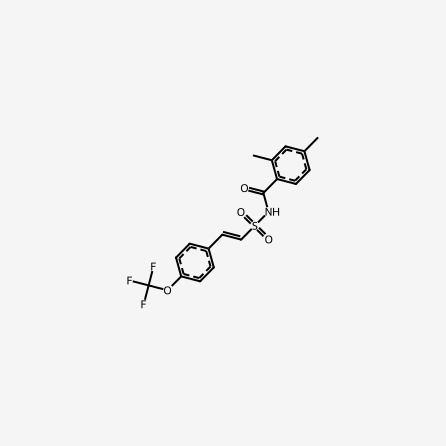 Cc1ccc(C(=O)NS(=O)(=O)C=Cc2ccc(OC(F)(F)F)cc2)c(C)c1